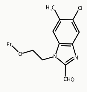 CCOCCn1c(C=O)nc2cc(Cl)c(C)cc21